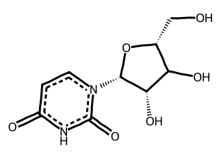 O=c1ccn([C@@H]2O[C@H](CO)C(O)[C@@H]2O)c(=O)[nH]1